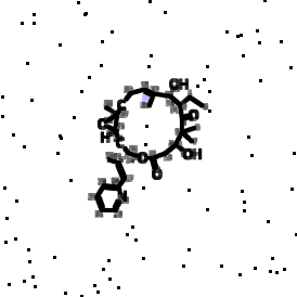 CC[C@H]1C(=O)C(C)(C)[C@@H](O)CC(=O)O[C@H](C(C)=Cc2ccccn2)C[C@H]2O[C@]2(C)CC/C=C(\C)[C@@H]1O